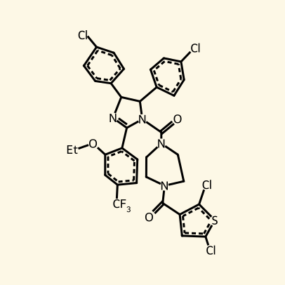 CCOc1cc(C(F)(F)F)ccc1C1=NC(c2ccc(Cl)cc2)C(c2ccc(Cl)cc2)N1C(=O)N1CCN(C(=O)c2cc(Cl)sc2Cl)CC1